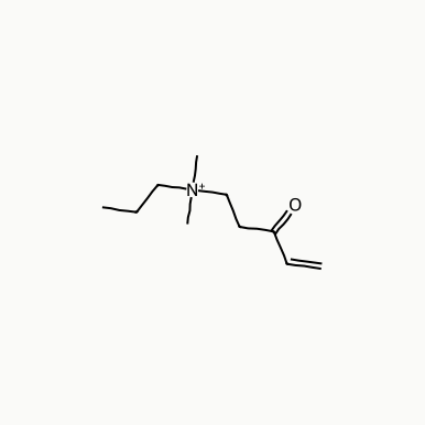 C=CC(=O)CC[N+](C)(C)CCC